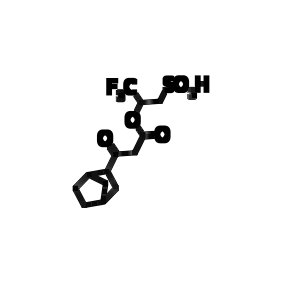 O=C(CC(=O)C1CC2CCC1C2)OC(CS(=O)(=O)O)C(F)(F)F